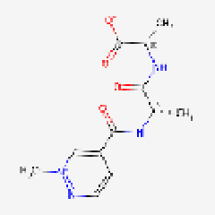 C[C@H](NC(=O)[C@H](C)NC(=O)c1ccn[n+](C)c1)C(=O)[O-]